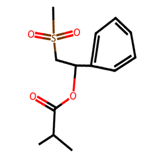 CC(C)C(=O)OC(CS(C)(=O)=O)c1ccccc1